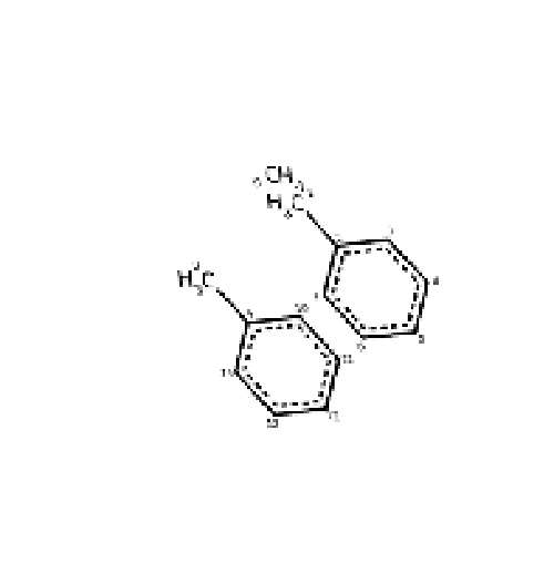 C.Cc1ccccc1.Cc1ccccc1